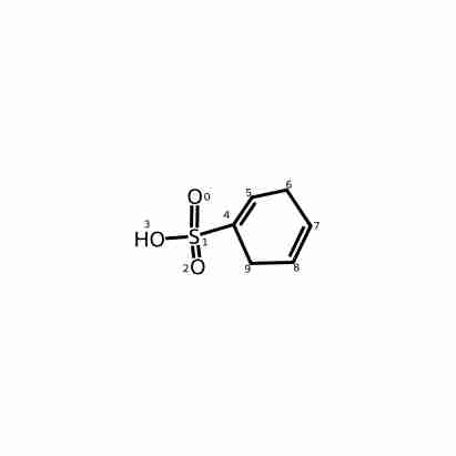 O=S(=O)(O)C1=CCC=CC1